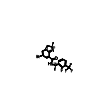 C[C@@H]1CN2C=C(Br)C=C(C(=O)N[C@H](C)c3cccc(C(F)(F)F)c3F)C2=N1